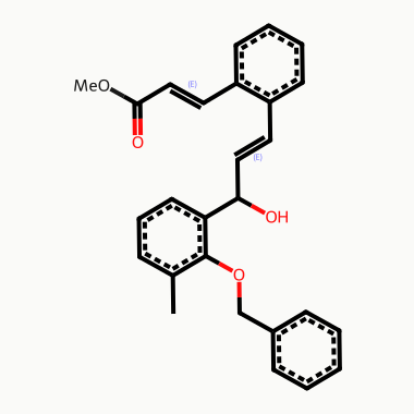 COC(=O)/C=C/c1ccccc1/C=C/C(O)c1cccc(C)c1OCc1ccccc1